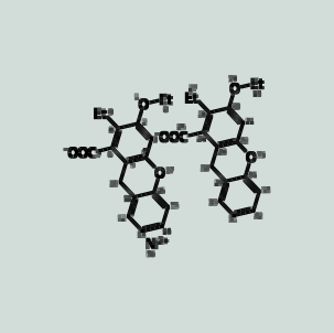 CCOc1cc2c(c(C(=O)[O-])c1CC)Cc1ccccc1O2.CCOc1cc2c(c(C(=O)[O-])c1CC)Cc1ccccc1O2.[Ni+2]